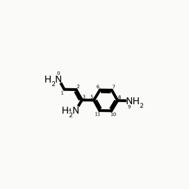 NCC=C(N)c1ccc(N)cc1